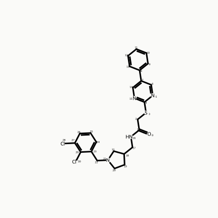 O=C(CSc1ncc(-c2ccccc2)cn1)NCC1CCN(Cc2cccc(Cl)c2Cl)C1